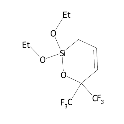 CCO[Si]1(OCC)CC=CC(C(F)(F)F)(C(F)(F)F)O1